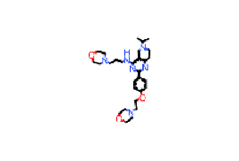 CC(C)N1CCc2nc(-c3ccc(OCCN4CCOCC4)cc3)nc(NCCCN3CCOCC3)c2C1